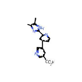 Cc1nc(-c2cc(-c3cncc(C(=O)O)c3)ccn2)[nH]c1C